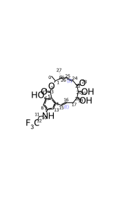 CC1OC(=O)c2c(O)cc(NCC(F)(F)F)cc2/C=C/CC(O)C(O)C(=O)/C=C\[C@H]1C